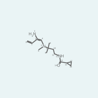 C=C/C(N)=C\N(C)C(C)(C)CCNC(=O)C1CC1